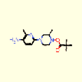 Cc1nc(N2CCN(OC(=O)C(C)(C)C)[C@H](C)C2)ccc1N